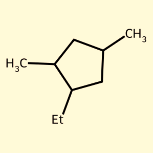 CCC1CC(C)CC1C